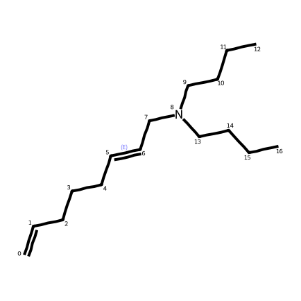 C=CCCC/C=C/CN(CCCC)CCCC